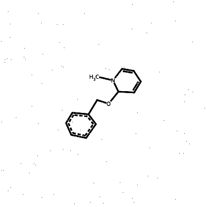 CN1C=CC=CC1OCc1ccccc1